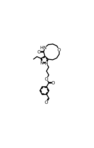 CCc1nn(CCCOC(=O)c2cccc(C=O)c2)c2c1C(=O)NCCCOCCC2